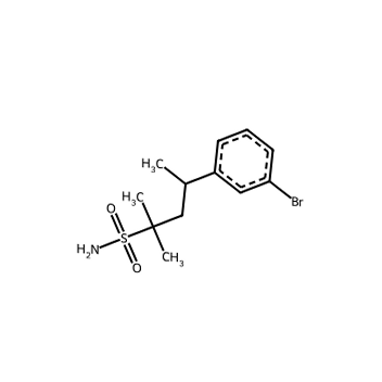 CC(CC(C)(C)S(N)(=O)=O)c1cccc(Br)c1